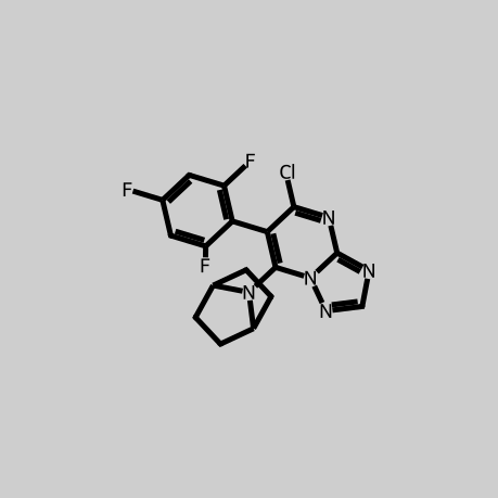 Fc1cc(F)c(-c2c(Cl)nc3ncnn3c2N2C3CCC2CC3)c(F)c1